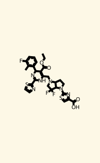 CCOC(=O)C1=C(CN2CC(F)(F)C3C2CCN3c2nc(C(=O)O)cs2)NC(c2nccs2)=NC1c1cccc(F)c1C